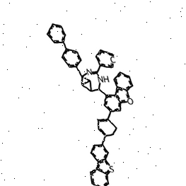 C1=C(c2cc(C3NC(c4ccccc4)=NC4(c5ccc(-c6ccccc6)cc5)C5C3C54)c3c(c2)oc2ccccc23)CCC(c2ccc3c(c2)sc2ccccc23)=C1